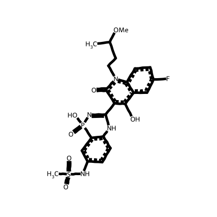 COC(C)CCn1c(=O)c(C2=NP(=O)(O)c3cc(NS(C)(=O)=O)ccc3N2)c(O)c2cc(F)ccc21